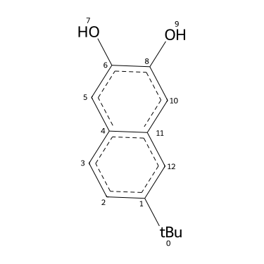 CC(C)(C)c1ccc2cc(O)c(O)cc2c1